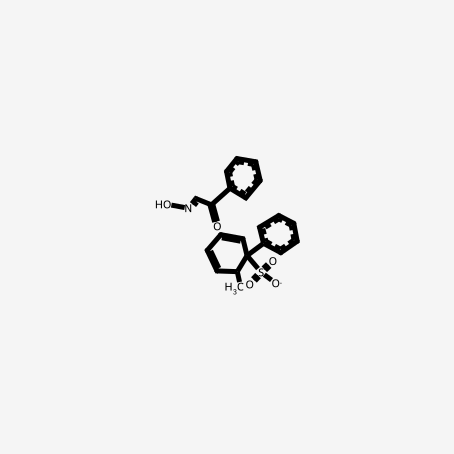 CC1C=CC=CC1(c1ccccc1)S([O])(=O)=O.O=C(C=NO)c1ccccc1